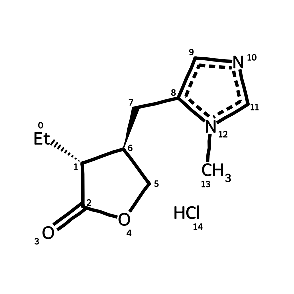 CC[C@H]1C(=O)OC[C@@H]1Cc1cncn1C.Cl